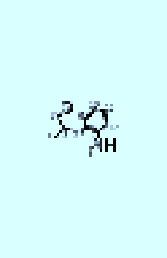 CC(C)C=O.CNc1ccccc1